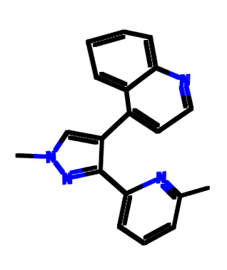 Cc1cccc(-c2nn(C)cc2-c2ccnc3ccccc23)n1